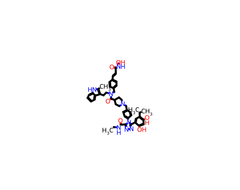 CCNC(=O)c1nnc(-c2cc(C(C)C)c(O)cc2O)n1-c1ccc(CN2CCC(C(=O)N(CCc3c(C)[nH]c4ccccc34)Cc3ccc(C=CC(=O)NO)cc3)CC2)cc1